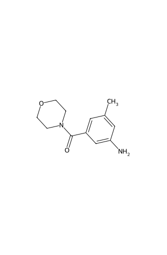 Cc1cc(N)cc(C(=O)N2CCOCC2)c1